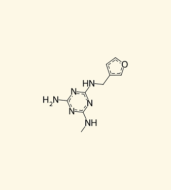 CNc1nc(N)nc(NCc2ccoc2)n1